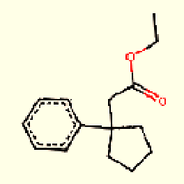 CCOC(=O)CC1(c2[c]cccc2)CCCC1